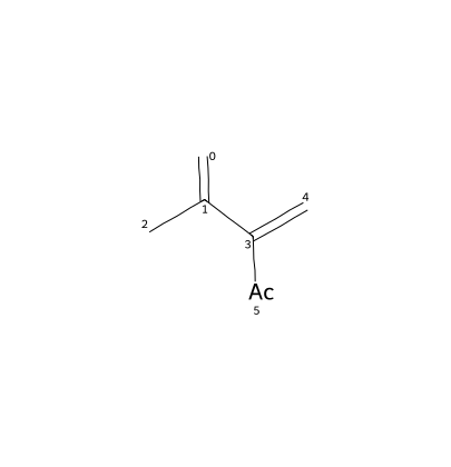 C=C(C)C(=C)C(C)=O